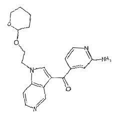 Nc1cc(C(=O)c2cn(CCOC3CCCCO3)c3ccncc23)ccn1